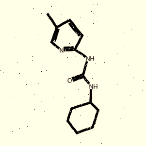 Cc1ccc(NC(=O)NC2CCCCC2)nc1